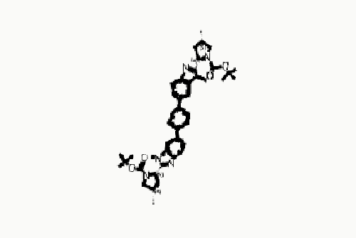 CC1C([C@@H]2C[C@H](C)CN2C(=O)OC(C)(C)C)=Nc2ccc(-c3ccc(-c4ccc5nc([C@@H]6C[C@H](C)CN6C(=O)OC(C)(C)C)n(C)c5c4)cc3)cc21